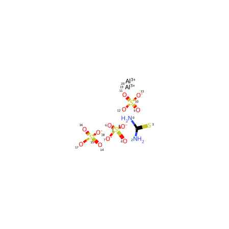 NC(N)=S.O=S(=O)([O-])[O-].O=S(=O)([O-])[O-].O=S(=O)([O-])[O-].[Al+3].[Al+3]